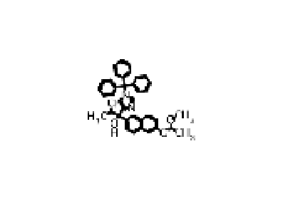 COC(C)Oc1ccc2cc(C(O)(c3cn(C(c4ccccc4)(c4ccccc4)c4ccccc4)cn3)C(C)C)ccc2c1